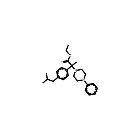 CCOC(=O)C(C)(c1ccc(CC(C)C)cc1)N1CCN(c2ccccc2)CC1